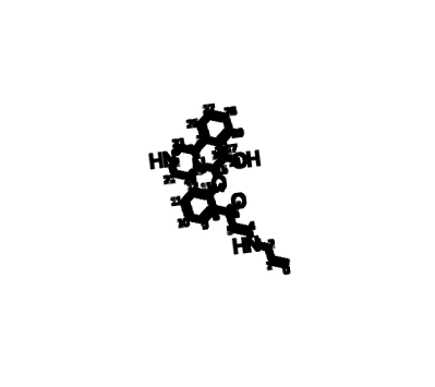 C=CCNC=CC(=O)c1ccccc1OC(C(C)O)N1CCNCC1c1ccccc1